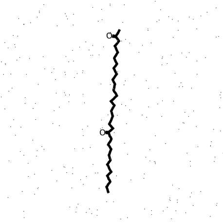 CCCCCCCCCCCC(=O)CCCCCCCCCCCCCCCCCC(C)=O